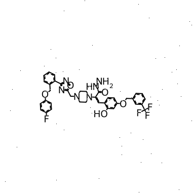 NNC(=O)C(=Cc1ccc(OCc2cccc(C(F)(F)F)c2)cc1O)N1CCN(Cc2nc(-c3ccccc3COc3ccc(F)cc3)no2)CC1